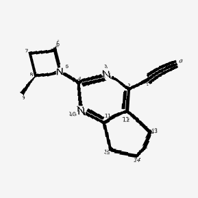 C#Cc1nc(N2CC[C@@H]2C)nc2c1CCC2